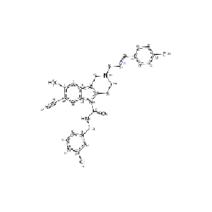 Cc1cc2c3c(n(C(=O)NCc4ccnc(Cl)c4)c2cc1C#N)CCN(C/C=C/c1ccc(Cl)cc1)C3